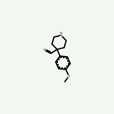 COc1ccc(C2(C=O)CCNCC2)cc1